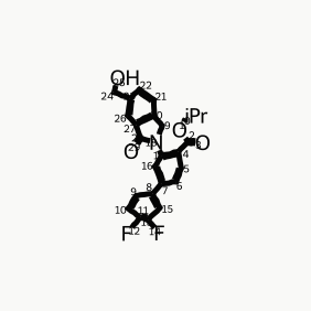 CC(C)OC(=O)c1ccc(-c2ccc(F)c(F)c2)cc1N1Cc2ccc(CO)cc2C1=O